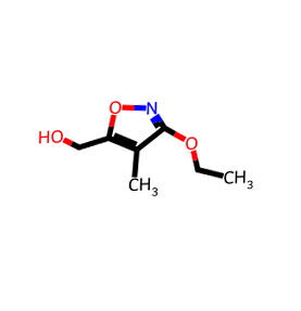 CCOc1noc(CO)c1C